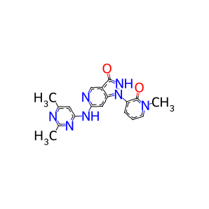 Cc1cc(Nc2cc3c(cn2)c(=O)[nH]n3-c2cccn(C)c2=O)nc(C)n1